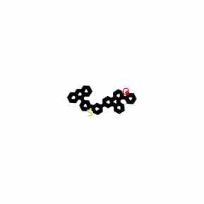 c1ccc2c(-c3ccc4sc5ccc(-c6ccc7c(c6)c6ccccc6c6c7ccc7oc8ccccc8c76)cc5c4c3)c3ccccc3cc2c1